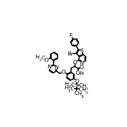 COc1ccccc1-c1nccc(COc2ccc(O[Si](C)(C)C(C)(C)C)cc2CC(Oc2nccc3sc(-c4ccc(F)cc4)c(Br)c23)C(=O)O)n1